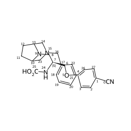 N#Cc1ccc(OC[C@H](CN2C3CCC2CN(Cc2ccccc2)C3)NC(=O)O)cc1